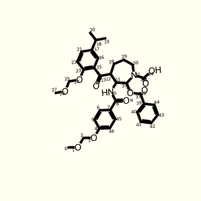 COCOc1ccc(C(=O)NC2C(C(=O)c3cc(C(C)C)ccc3OCOC)CCCN(C(=O)O)C2OC(=O)c2ccccc2)cc1